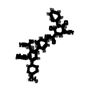 CNn1c(C2CCN(C)CC2)cc(-c2ccc(NC(=O)c3cn(C(C)C)c(=O)n(-c4ccccn4)c3=O)cc2)c1C(=N)N